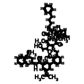 COc1c(CN2OC(CO)[C@@H]([C@H](C)OC(=O)NCCCCc3ccccc3)[C@H]2C(=O)NC2C[C@H]3C[C@@H]([C@@H]2C)C3(C)C)cccc1-c1cc(C(=O)N[C@@H](Cc2ccccc2)CN(C)C)cc(N(C)C)c1